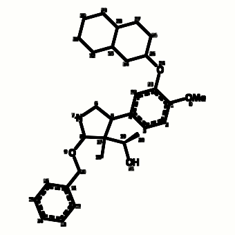 COc1ccc(C2C[N]C(OCc3ccccc3)C2(C)[C@@H](C)O)cc1OC1CCC2CCCCC2C1